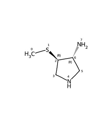 CS[C@@H]1CNC[C@H]1N